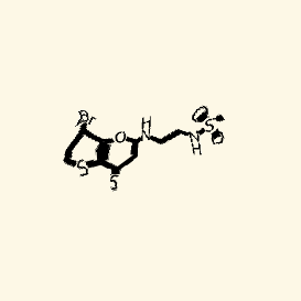 CS(=O)(=O)NCCNc1cc(=S)c2scc(Br)c2o1